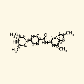 Cc1cn2cc(NC(=O)c3cnc(N4C[C@@H](C)N[C@@H](C)C4)cn3)nc(C)c2n1